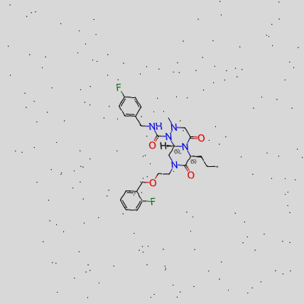 CCC[C@H]1C(=O)N(CCOCc2ccccc2F)C[C@H]2N1C(=O)CN(C)N2C(=O)NCc1ccc(F)cc1